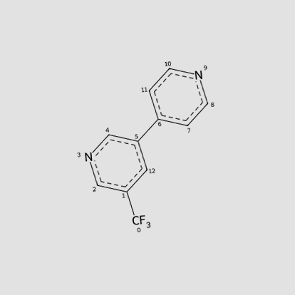 FC(F)(F)c1cncc(-c2ccncc2)c1